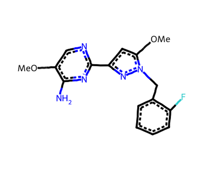 COc1cnc(-c2cc(OC)n(Cc3ccccc3F)n2)nc1N